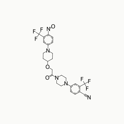 N#Cc1ccc(N2CCN(C(=O)COC3CCN(c4ccc(N=O)c(C(F)(F)F)c4)CC3)CC2)cc1C(F)(F)F